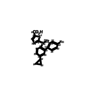 CCN(c1ncc(C(=O)O)s1)c1ccc(C2CC2)cc1-c1ccc(F)cc1